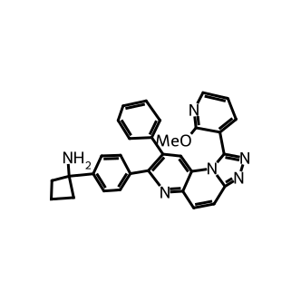 COc1ncccc1-c1nnc2ccc3nc(-c4ccc(C5(N)CCC5)cc4)c(-c4ccccc4)cc3n12